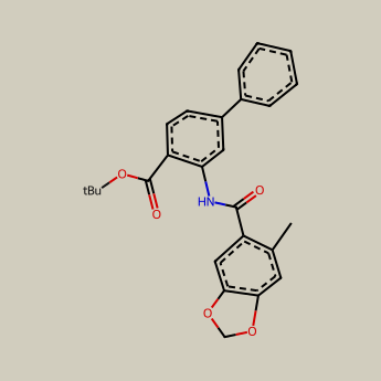 Cc1cc2c(cc1C(=O)Nc1cc(-c3ccccc3)ccc1C(=O)OC(C)(C)C)OCO2